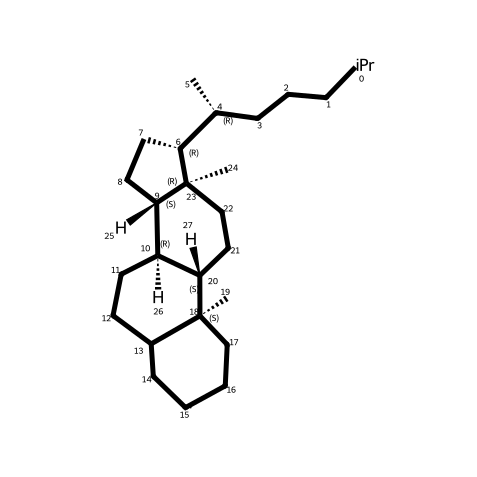 CC(C)CCC[C@@H](C)[C@H]1CC[C@H]2[C@@H]3CCC4C[CH]CC[C@]4(C)[C@H]3CC[C@]12C